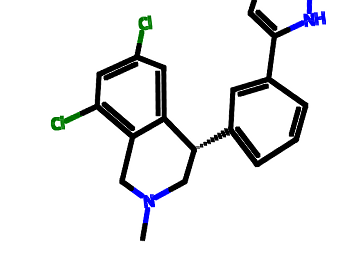 CN1Cc2c(Cl)cc(Cl)cc2[C@H](c2cccc(-c3ccc[nH]3)c2)C1